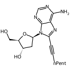 CCCCCC#Cc1nc2c(N)ncnc2n1[C@H]1C[C@H](O)[C@@H](CO)O1